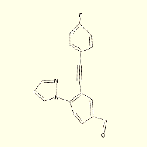 O=Cc1ccc(-n2cccn2)c(C#Cc2ccc(F)cc2)c1